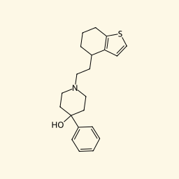 OC1(c2ccccc2)CCN(CCC2CCCc3sccc32)CC1